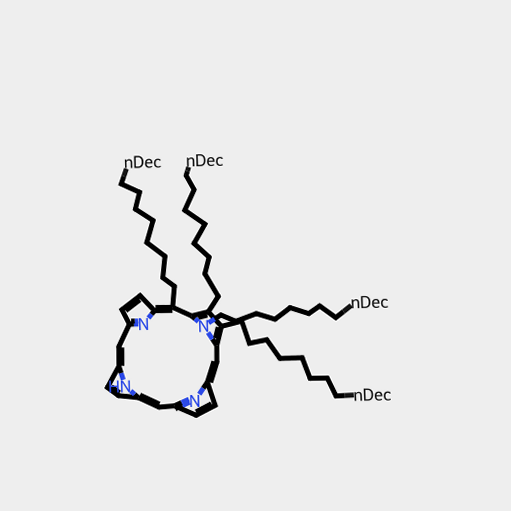 CCCCCCCCCCCCCCCCCCc1c(CCCCCCCCCCCCCCCCCC)c2c(CCCCCCCCCCCCCCCCCC)c3nc(cc4ccc(cc5nc(cc1n2CCCCCCCCCCCCCCCCCC)C=C5)[nH]4)C=C3